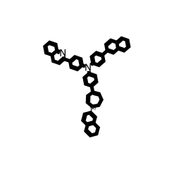 C1=CC2=NC(c3ccc(N(c4ccc(C5=CCC[C@H](c6ccc7c(c6)CCC=C7)C=C5)cc4)c4ccc(-c5ccc6ccccc6c5)cc4)cc3)=CCC2C=C1